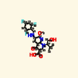 COc1nc2c(cc1NCc1c(F)cc(F)cc1F)c(=O)c(C(=O)O)cn2C(CO)C(C)C